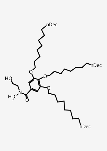 CCCCCCCCCCCCCCCCCCOc1cc(C(=O)N(C)CCO)cc(OCCCCCCCCCCCCCCCCCC)c1OCCCCCCCCCCCCCCCCCC